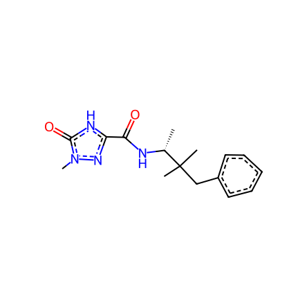 C[C@@H](NC(=O)c1nn(C)c(=O)[nH]1)C(C)(C)Cc1ccccc1